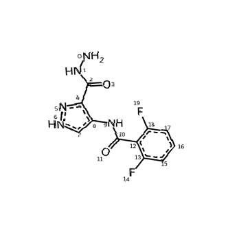 NNC(=O)c1n[nH]cc1NC(=O)c1c(F)cccc1F